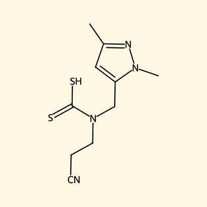 Cc1cc(CN(CCC#N)C(=S)S)n(C)n1